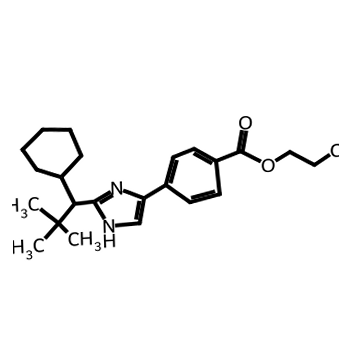 CCCOC(=O)c1ccc(-c2c[nH]c(C(C3CCCCC3)C(C)(C)C)n2)cc1